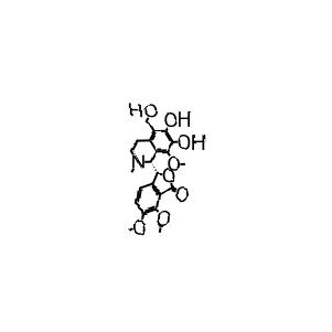 COc1ccc2c(c1OC)C(=O)OC2[C@H]1c2c(c(CO)c(O)c(O)c2OC)CCN1C